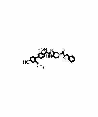 CCc1cc(O)ccc1-c1ccc2c(-c3nc4c([nH]3)CCN(C(=O)[C@@H](N)Cc3ccccc3)C4)n[nH]c2c1